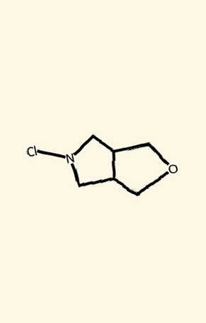 ClN1CC2COCC2C1